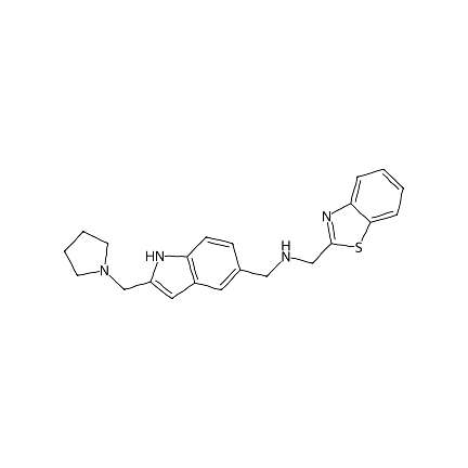 c1ccc2sc(CNCc3ccc4[nH]c(CN5CCCC5)cc4c3)nc2c1